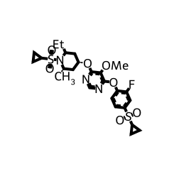 CCC1C[C@H](Oc2ncnc(Oc3ccc(S(=O)(=O)C4CC4)cc3F)c2OC)C[C@H](C)N1S(=O)(=O)C1CC1